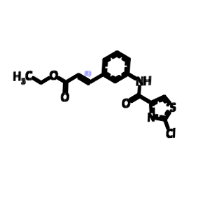 CCOC(=O)/C=C/c1cccc(NC(=O)c2csc(Cl)n2)c1